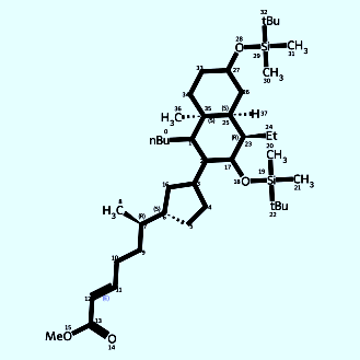 CCCCC1C(C2CC[C@H]([C@H](C)CC/C=C/C(=O)OC)C2)C(O[Si](C)(C)C(C)(C)C)[C@H](CC)[C@@H]2CC(O[Si](C)(C)C(C)(C)C)CC[C@]12C